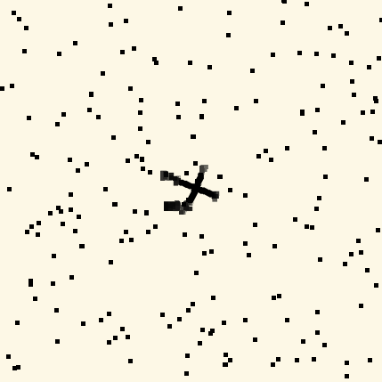 O=C(O)C(F)(F)F.[Ru]